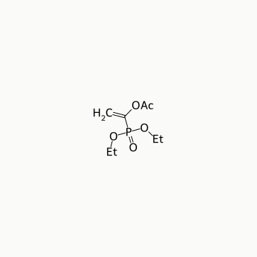 C=C(OC(C)=O)P(=O)(OCC)OCC